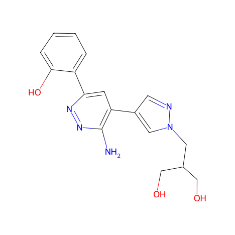 Nc1nnc(-c2ccccc2O)cc1-c1cnn(CC(CO)CO)c1